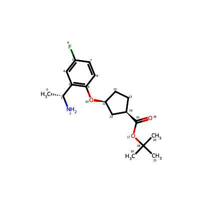 C[C@@H](N)c1cc(F)ccc1O[C@H]1CC[C@@H](C(=O)OC(C)(C)C)C1